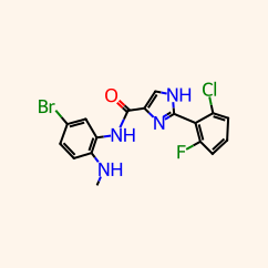 CNc1ccc(Br)cc1NC(=O)c1c[nH]c(-c2c(F)cccc2Cl)n1